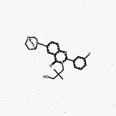 CC(C)(CO)Cn1c(-c2cccc(F)c2)nc2ccc(N3CCN4CCC3CC4)cc2c1=O